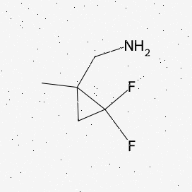 CC1(CN)CC1(F)F